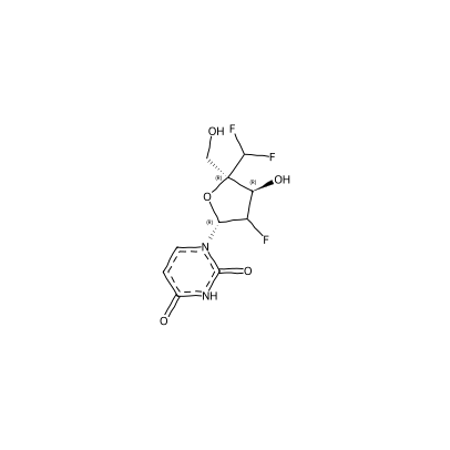 O=c1ccn([C@@H]2O[C@@](CO)(C(F)F)[C@@H](O)C2F)c(=O)[nH]1